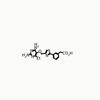 CCc1nc(N)nc(N)c1OCc1csc(-c2cccc(CC(=O)O)c2)n1